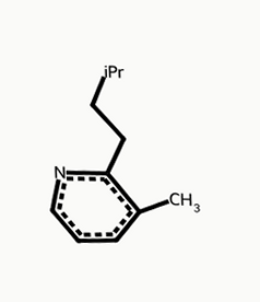 Cc1cccnc1CCC(C)C